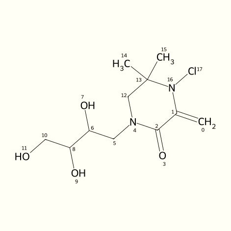 C=C1C(=O)N(CC(O)C(O)CO)CC(C)(C)N1Cl